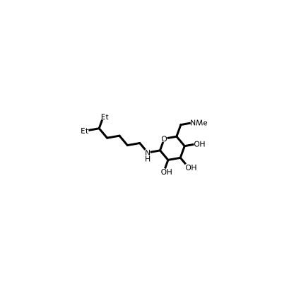 CCC(CC)CCCCNC1OC(CNC)C(O)C(O)C1O